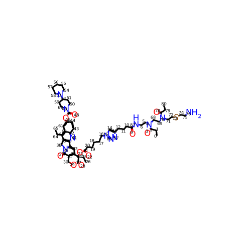 CCC(=O)N(CCNC(=O)CCCc1cn(CCCCCC(=O)O[C@]2(CC)C(=O)OCc3c2cc2n(c3=O)Cc3c-2nc2ccc(OC(=O)N4CCC(N5CCCCC5)CC4)cc2c3CC)nn1)CCN(CCSCCN)C(=O)CC